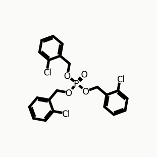 O=P(OCc1ccccc1Cl)(OCc1ccccc1Cl)OCc1ccccc1Cl